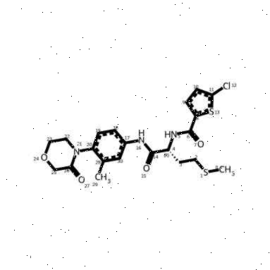 CSCC[C@@H](NC(=O)c1ccc(Cl)s1)C(=O)Nc1ccc(N2CCOCC2=O)c(C)c1